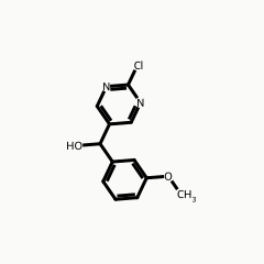 COc1cccc(C(O)c2cnc(Cl)nc2)c1